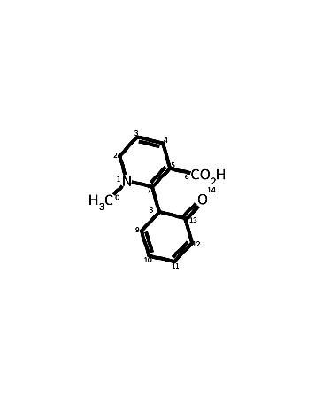 CN1CC=CC(C(=O)O)=C1C1C=CC=CC1=O